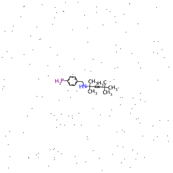 CC(C)(C)C#CC(C)(C)NCc1ccc(P)cc1